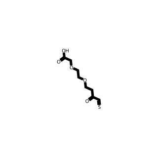 O=C(O)COCCOCCC(=O)C=S